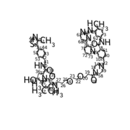 Cc1ccc(NC(=O)c2ccc(CN3CCN(C(=O)CCOCCOCCCNC(C(=O)N4CC(O)CC4C(=O)NCc4ccc(-c5scnc5C)cc4)C(C)(C)C)CC3)cc2)cc1Nc1nccc(-c2cccnc2)n1